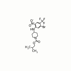 CC(C)COC(=O)N1CCC(Nc2cc(Br)c(C(F)(F)F)cc2[N+](=O)[O-])CC1